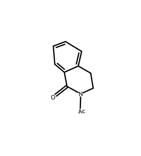 CC(=O)N1CCc2ccccc2C1=O